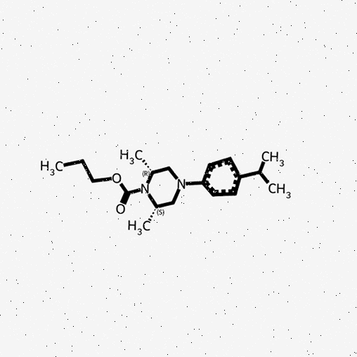 CCCOC(=O)N1[C@H](C)CN(c2ccc(C(C)C)cc2)C[C@@H]1C